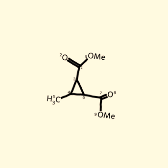 COC(=O)C1C(C)C1C(=O)OC